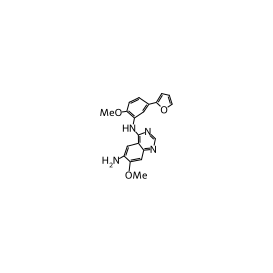 COc1cc2ncnc(Nc3cc(-c4ccco4)ccc3OC)c2cc1N